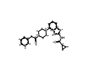 O=C(Nc1nc2cccc(N3CCN(C(=O)Cc4cccnc4)CC3)n2n1)C1CC1